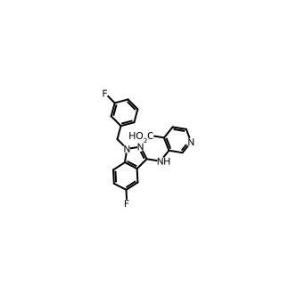 O=C(O)c1ccncc1Nc1nn(Cc2cccc(F)c2)c2ccc(F)cc12